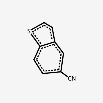 N#Cc1ccc2s[c]cc2c1